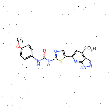 O=C(Nc1ccc(OC(F)(F)F)cc1)Nc1ncc(-c2cc(C(=O)O)c3cn[nH]c3n2)s1